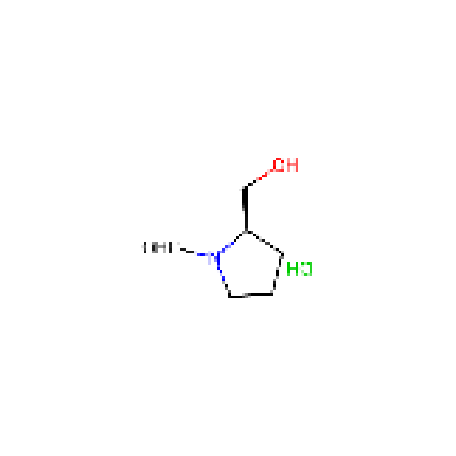 Cl.O=CN1CCC[C@@H]1CO